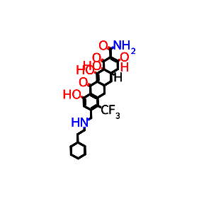 NC(=O)C1=C(O)C[C@@H]2CC3Cc4c(c(O)cc(CNCCC5CCCCC5)c4C(F)(F)F)C(=O)C3=C(O)[C@]2(O)C1=O